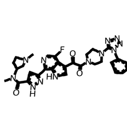 CN1CCC(N(C)C(=O)c2cc(-c3ncc(F)c4c(C(=O)C(=O)N5CCN(c6nnnn6-c6ccccc6)CC5)c[nH]c34)n[nH]2)C1